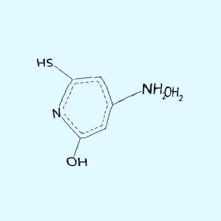 Nc1cc(O)nc(S)c1.O